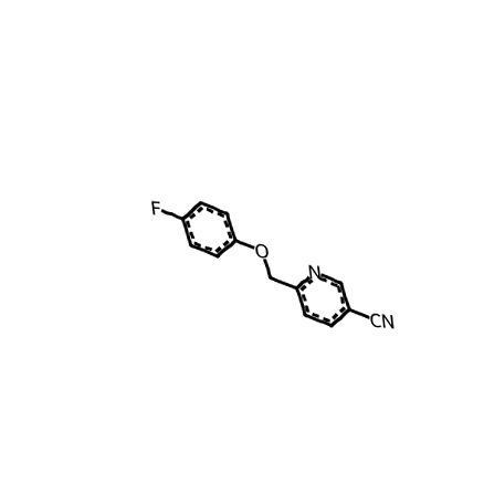 N#Cc1ccc(COc2ccc(F)cc2)nc1